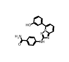 NC(=O)c1ccc(Nc2nc3cccc(-c4cccc(O)c4)n3n2)cc1